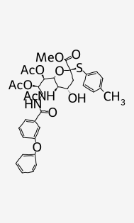 COC(=O)[C@]1(Sc2ccc(C)cc2)C[C@H](O)[C@@H](NC(C)=O)[C@H]([C@H](OC(C)=O)[C@@H](CNC(=O)c2cccc(Oc3ccccc3)c2)OC(C)=O)O1